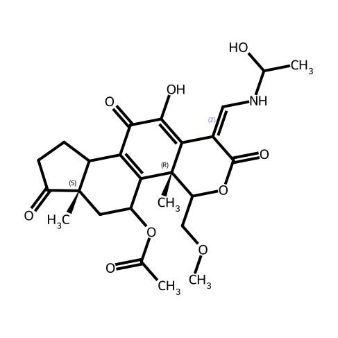 COCC1OC(=O)/C(=C\NC(C)O)C2=C(O)C(=O)C3=C(C(OC(C)=O)C[C@]4(C)C(=O)CCC34)[C@]21C